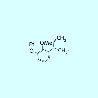 [CH2]C(C=C)c1cccc(OCC)c1OC